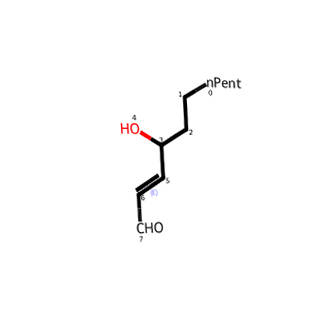 CCCCCCCC(O)/C=C/C=O